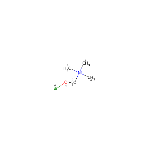 C[N+](C)(C)C.[O-]Br